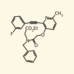 CCOC(=O)CN(Cc1ccccc1)C(=O)COc1ccc(C)nc1C#Cc1cccc(F)c1